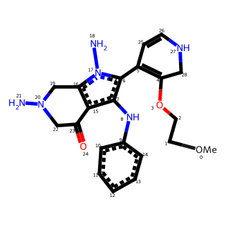 COCCOC1=C(c2c(Nc3ccccc3)c3c(n2N)CN(N)CC3=O)C=CNC1